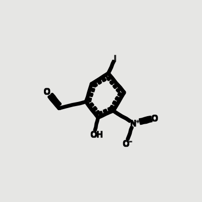 O=Cc1cc(I)cc([N+](=O)[O-])c1O